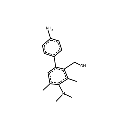 Cc1cc(-c2ccc(N)cc2)c(CO)c(C)c1N(C)C